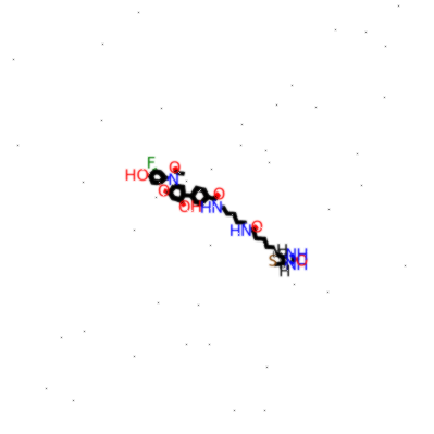 CC(=O)N1c2cc(F)c(O)cc2Oc2cc(O)c(-c3ccc(C(=O)NCCCCCNC(=O)CCCC[C@@H]4SC[C@H]5NC(=O)N[C@@H]45)cc3)cc21